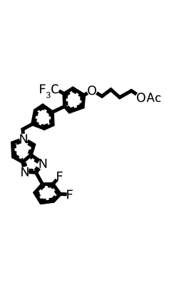 CC(=O)OCCCCOc1ccc(-c2ccc(Cn3ccc4nc(-c5cccc(F)c5F)nc-4c3)cc2)c(C(F)(F)F)c1